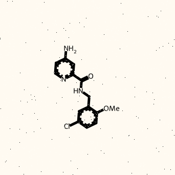 COc1ccc(Cl)cc1CNC(=O)c1cc(N)ccn1